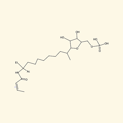 C/C=C\C(=O)NC(CC)(CCCCCCCC(C)C1OC(COP(=O)(O)O)C(O)C1O)C(C)=O